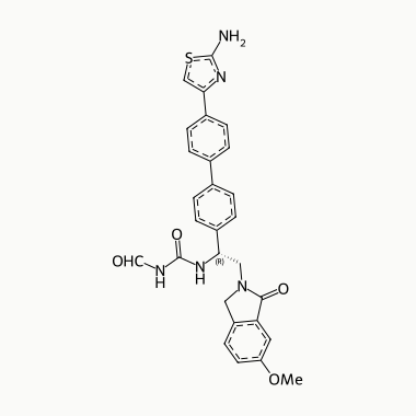 COc1ccc2c(c1)C(=O)N(C[C@H](NC(=O)NC=O)c1ccc(-c3ccc(-c4csc(N)n4)cc3)cc1)C2